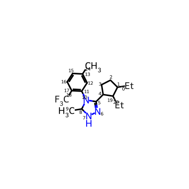 CCC1CCC(C2=NNC(C)N2c2cc(C)ccc2C(F)(F)F)C1CC